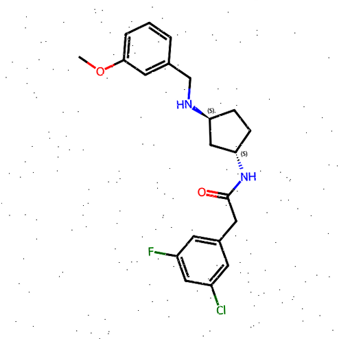 COc1cccc(CN[C@H]2CC[C@H](NC(=O)Cc3cc(F)cc(Cl)c3)C2)c1